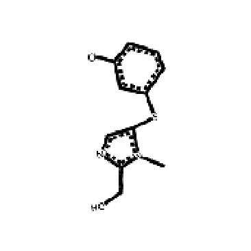 Cn1c(Sc2cccc(Cl)c2)[c]nc1CO